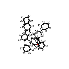 c1ccc(-c2nc(-c3ccccc3)nc(-n3c4cc5ccccc5cc4c4ccc5c(c43)C3(c4ccccc4-5)C4CC5CC(C4)CC3C5)n2)cc1